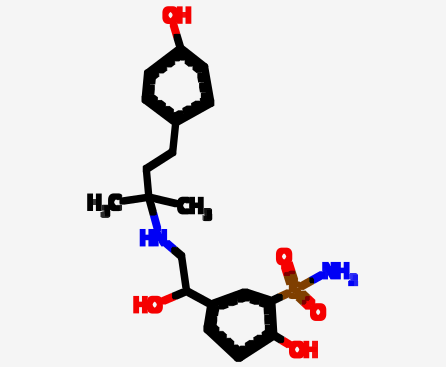 CC(C)(CCc1ccc(O)cc1)NCC(O)c1ccc(O)c(S(N)(=O)=O)c1